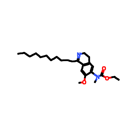 CCCCCCCCCCCC1=NCCc2cc(N(C)C(=O)OCC)c(OC)cc21